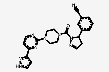 N#Cc1cccc(C2CC=NN2C(=O)N2CCN(c3nccc(-c4cc[nH]n4)n3)CC2)c1